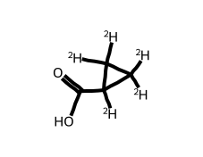 [2H]C1([2H])C([2H])([2H])C1([2H])C(=O)O